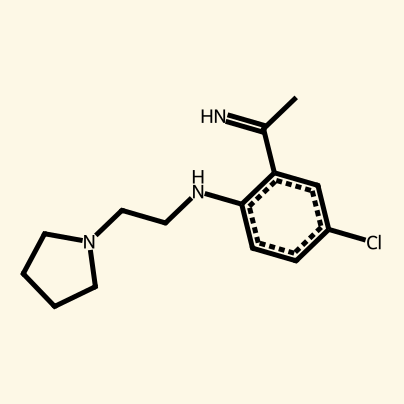 CC(=N)c1cc(Cl)ccc1NCCN1CCCC1